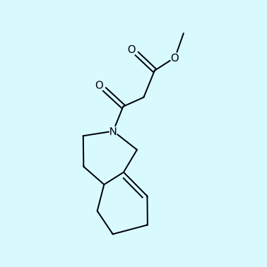 COC(=O)CC(=O)N1CCC2CCCC=C2C1